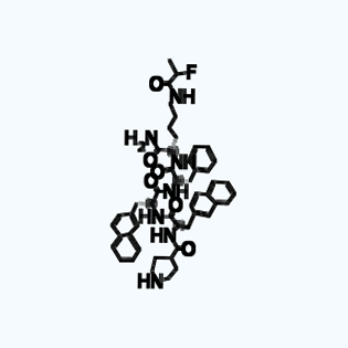 CC(F)C(=O)NCCCC[C@H](NC(=O)[C@H](Cc1ccccc1)NC(=O)[C@@H](Cc1ccc2ccccc2c1)NC(=O)[C@@H](Cc1ccc2ccccc2c1)NC(=O)C1CCNCC1)C(N)=O